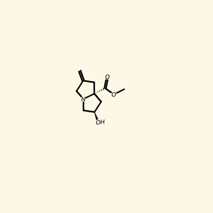 C=C1CN2C[C@H](O)C[C@]2(C(=O)OC)C1